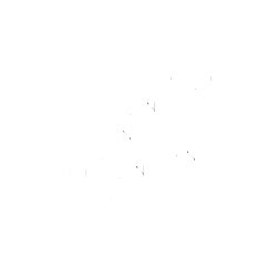 CCOC(=O)Cn1cc(C#N)c(NC(=O)OC(C)(C)C)nc1=O